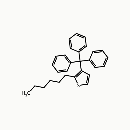 CCCCCCc1sccc1C(c1ccccc1)(c1ccccc1)c1ccccc1